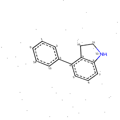 c1ccc(-c2cccc3c2CCN3)cc1